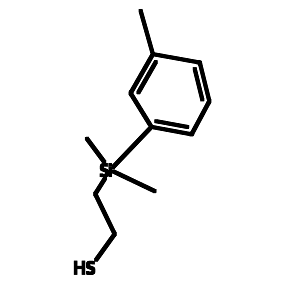 Cc1cccc([Si](C)(C)CCS)c1